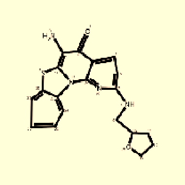 Nc1c(=O)c2ccc(NCC3CCCO3)nc2n2c1sc1ccccc12